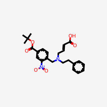 CC(C)(C)OC(=O)c1ccc(CN(C/C=C/C(=O)O)CCc2ccccc2)c([N+](=O)[O-])c1